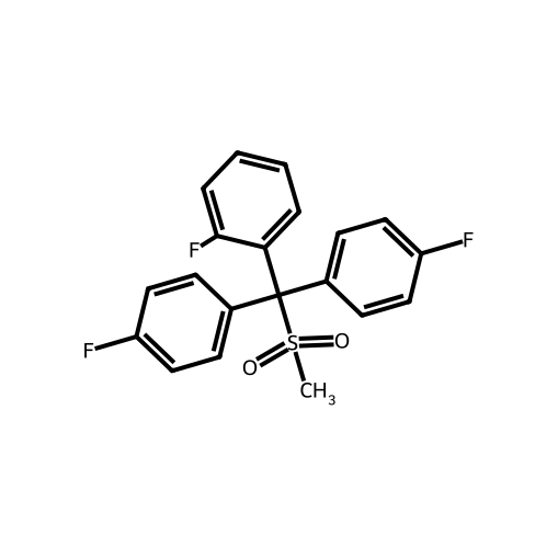 CS(=O)(=O)C(c1ccc(F)cc1)(c1ccc(F)cc1)c1ccccc1F